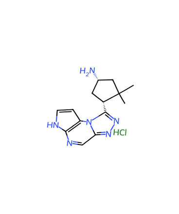 CC1(C)C[C@@H](N)C[C@H]1c1nnc2cnc3[nH]ccc3n12.Cl